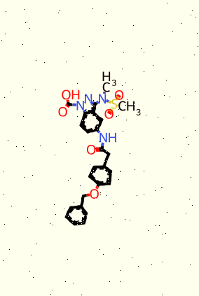 CN(c1nn(C(=O)O)c2ccc(NC(=O)Cc3ccc(OCc4ccccc4)cc3)cc12)S(C)(=O)=O